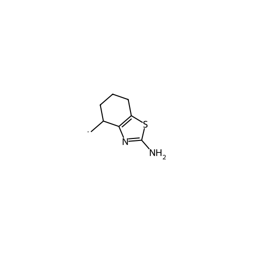 [CH2]C1CCCc2sc(N)nc21